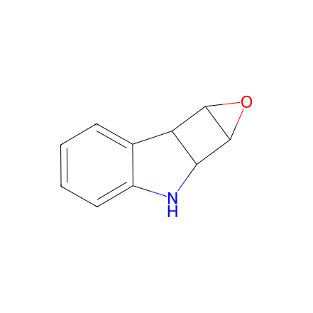 c1ccc2c(c1)NC1C3OC3C21